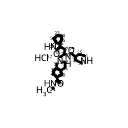 CCNC(=O)c1ccc2c(c1)CCN(C(=O)C(Cc1c[nH]c3ccccc13)NC(=O)C1CCNCC1)C2.Cl